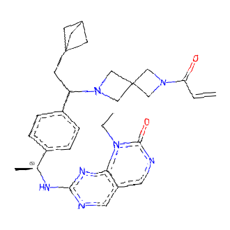 C=CC(=O)N1CC2(C1)CN(C(CC13CC(C1)C3)c1ccc([C@H](C)Nc3ncc4cnc(=O)n(CC)c4n3)cc1)C2